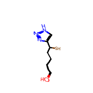 OCCCCC(S)c1c[nH]nn1